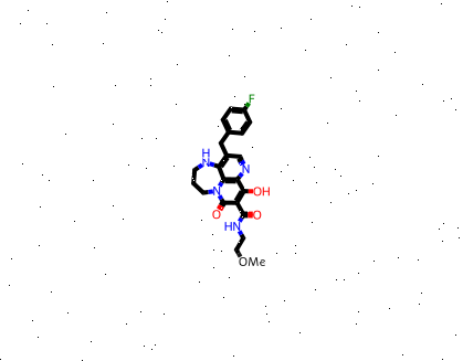 COCCNC(=O)c1c(O)c2ncc(Cc3ccc(F)cc3)c3c2n(c1=O)CCCN3